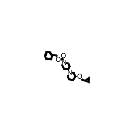 O=C(OCc1ccccc1)N1CCC(N2CCC[C@@H](OCC3CC3)C2)CC1